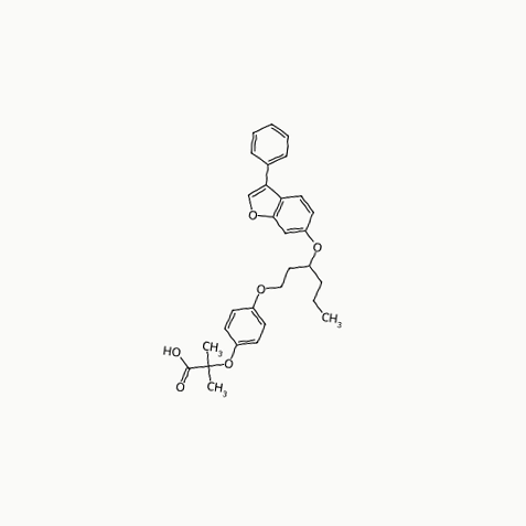 CCCC(CCOc1ccc(OC(C)(C)C(=O)O)cc1)Oc1ccc2c(-c3ccccc3)coc2c1